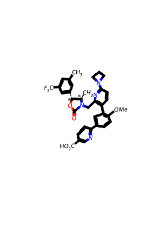 COc1ccc(-c2ccc(C(=O)O)cn2)cc1-c1ccc(N2CCC2)nc1CN1C(=O)O[C@H](c2cc(C)cc(C(F)(F)F)c2)[C@@H]1C